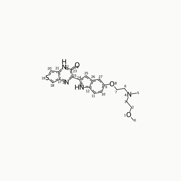 COCCN(C)CCOc1ccc2[nH]c(-c3nc4cscc4[nH]c3=O)cc2c1